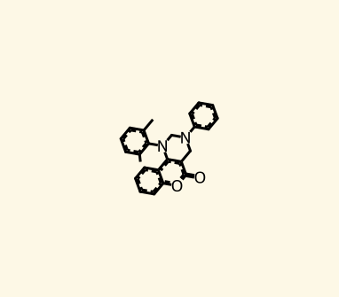 Cc1cccc(C)c1N1CN(c2ccccc2)Cc2c1c1ccccc1oc2=O